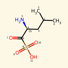 CC(C)C[C@H](N)C(=O)S(=O)(=O)O